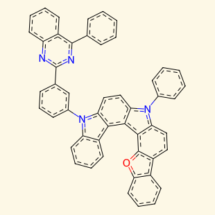 c1ccc(-c2nc(-c3cccc(-n4c5ccccc5c5c6c7c8oc9ccccc9c8ccc7n(-c7ccccc7)c6ccc54)c3)nc3ccccc23)cc1